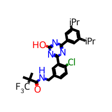 CC(C)c1cc(-c2nc(O)nc(-c3cc(CNC(=O)C(C)(C)C(F)(F)F)ccc3Cl)n2)cc(C(C)C)c1